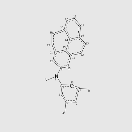 Cc1cc(C)cc(N(C)c2cc3ccc4cccc5ccc(c2)c3c45)c1